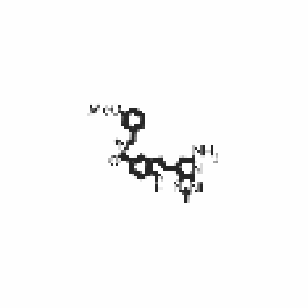 COc1cccc(CN(C)C(=O)c2ccc3[nH]c(-c4cc(N)nc5[nH]c(C)nc45)cc3c2)c1